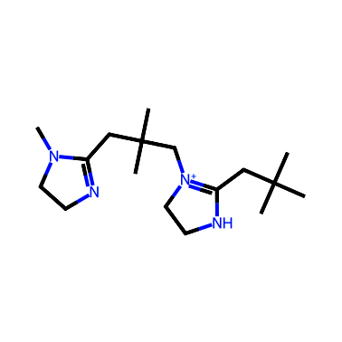 CN1CCN=C1CC(C)(C)C[N+]1=C(CC(C)(C)C)NCC1